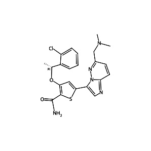 C[C@@H](Oc1cc(-c2cnc3ccc(CN(C)C)nn23)sc1C(N)=O)c1ccccc1Cl